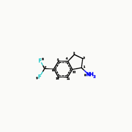 NC1CCc2cc(C(F)F)ccc21